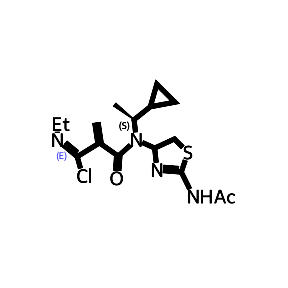 C=C(C(=O)N(C1CSC(NC(C)=O)=N1)[C@@H](C)C1CC1)/C(Cl)=N\CC